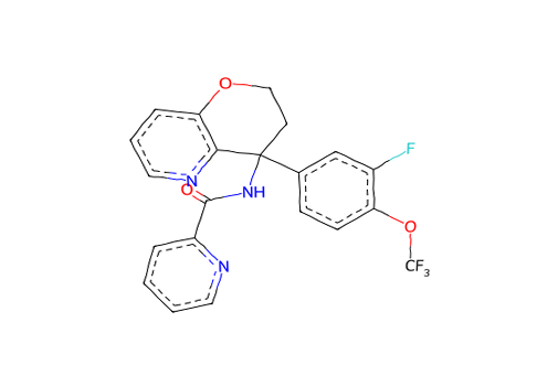 O=C(NC1(c2ccc(OC(F)(F)F)c(F)c2)CCOc2cccnc21)c1ccccn1